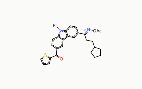 CCn1c2ccc(C(=O)c3cccs3)cc2c2cc(/C(CCC3CCCC3)=N/OC(C)=O)ccc21